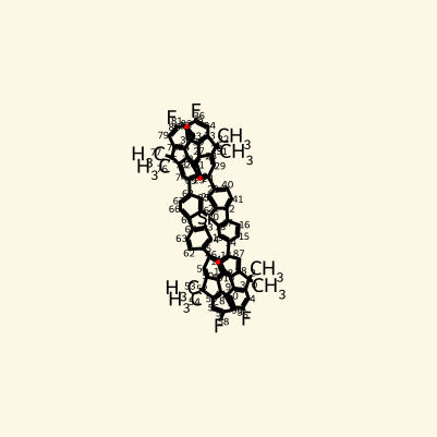 CC1(C)c2cc(F)ccc2-c2ccc(-c3ccc4c(c3)[Si]3(c5cc(-c6ccc7c(c6)C(C)(C)c6cc(F)ccc6-7)ccc5-4)c4cc(-c5ccc6c(c5)C(C)(C)c5cc(F)ccc5-6)ccc4-c4ccc(-c5ccc6c(c5)C(C)(C)c5cc(F)ccc5-6)cc43)cc21